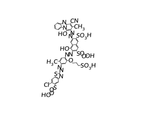 Cc1cc(N=Nc2c(SOOO)cc3cc(S(=O)(=O)O)c(N=Nc4c(C)c(C#N)c5nc6ccccc6n5c4O)cc3c2O)c(OCCCS(=O)(=O)O)cc1N=Nc1nc2cc(SOOO)c(Cl)cc2s1